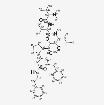 CCC(C)C(C(CC(=O)N1CCCC1C(CC(=O)NCCc1ccccc1)SCCc1ccccc1)OC)N(C)C(=O)C(NC(=O)C(C(C)C)N(C)C)C(C)C